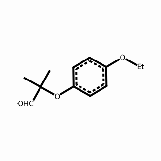 CCOc1ccc(OC(C)(C)[C]=O)cc1